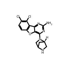 Nc1nc(N2CC3C[C@H]2CN3)c2oc3ccc(Cl)c(Cl)c3c2n1